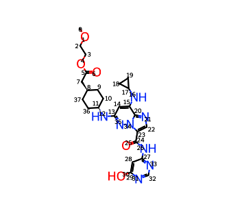 COCCOC(=O)C[C@H]1CC[C@H](Nc2cc(NC3CC3)c3ncc(C(=O)Nc4cc(O)ncn4)n3n2)CC1